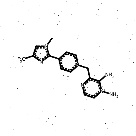 Cn1cc(C(F)(F)F)nc1-c1ccc(Cc2ncc[n+](N)c2N)cc1